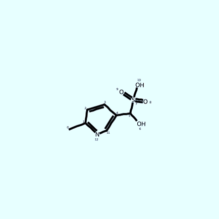 Cc1ccc(C(O)S(=O)(=O)O)cn1